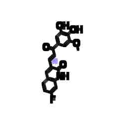 COc1cc(C(=O)/C=C/c2cc3ccc(F)cc3[nH]c2=O)cc(O)c1O